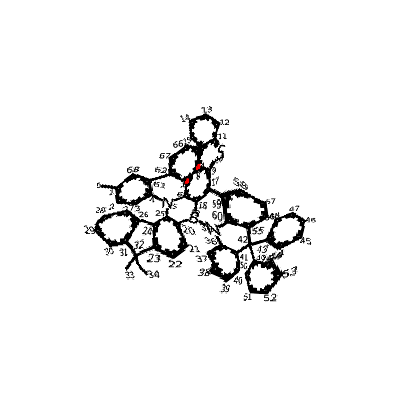 Cc1ccc(N2c3cc4c(sc5ccccc54)c4c3B(c3ccc5c(c32)-c2ccccc2C5(C)C)N2c3ccccc3C(c3ccccc3)(c3ccccc3)c3cccc-4c32)c(-c2ccccc2)c1